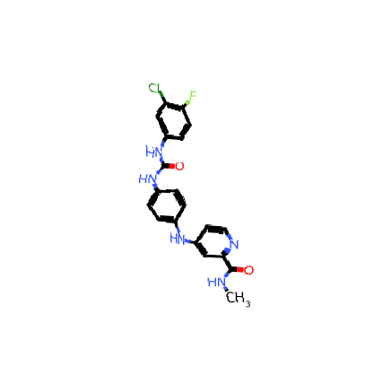 CNC(=O)c1cc(Nc2ccc(NC(=O)Nc3ccc(F)c(Cl)c3)cc2)ccn1